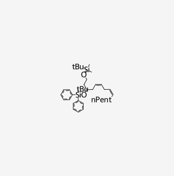 CCCCC/C=C\C/C=C\CC(CCO[Si](C)(C)C(C)(C)C)O[Si](c1ccccc1)(c1ccccc1)C(C)(C)C